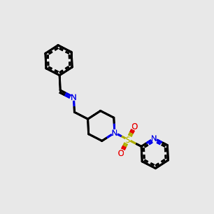 O=S(=O)(c1ccccn1)N1CCC(CN=Cc2ccccc2)CC1